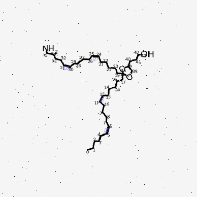 CCCCC/C=C\CCCC/C=C\CCCCCC1(CCCCC/C=C\CCCC/C=C\CCCCN)OCC(CCCO)O1